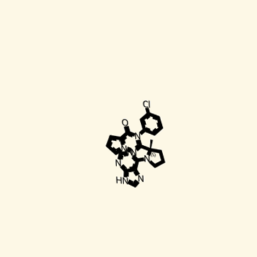 C[C@@]1(c2nn3cccc3c(=O)n2-c2cccc(Cl)c2)CCCN1c1ncnc2[nH]cnc12